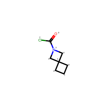 O=C(Cl)N1CC2(CCC2)C1